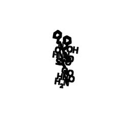 NC(=O)NC(=O)OCc1csc2c1S(=O)(=O)N=C(c1c(O)c3ccccc3n(Cc3ccccc3)c1=O)N2